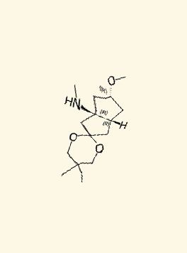 CN[C@@]12C[C@H](OC)C[C@@H]1CC1(C2)OCC(C)(C)CO1